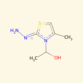 Cc1cs/c(=N\N)n1C(C)O